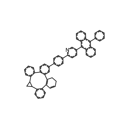 C1=CC2=C(CC1)c1cc(-c3ccc(-c4ccc(-c5c6ccccc6c(-c6ccccc6)c6ccccc56)cn4)cc3)ccc1-c1ccccc1C1CC1c1ccccc12